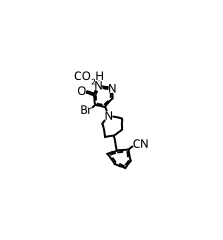 N#Cc1ccccc1C1CCN(c2cnn(C(=O)O)c(=O)c2Br)CC1